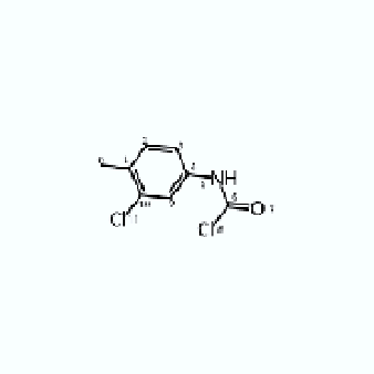 Cc1ccc(NC(=O)Cl)cc1Cl